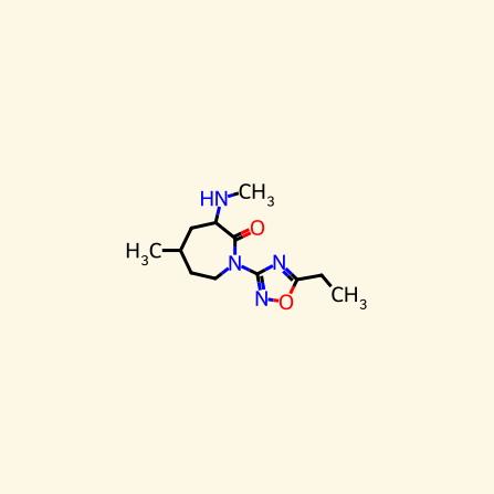 CCc1nc(N2CCC(C)CC(NC)C2=O)no1